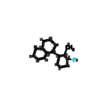 Cc1c(F)cccc1-c1cccc2ccccc12